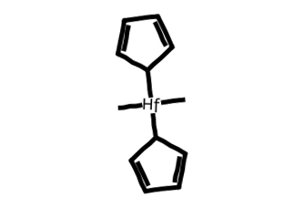 [CH3][Hf]([CH3])([CH]1C=CC=C1)[CH]1C=CC=C1